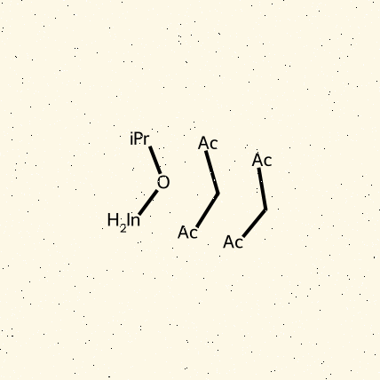 CC(=O)CC(C)=O.CC(=O)CC(C)=O.CC(C)[O][InH2]